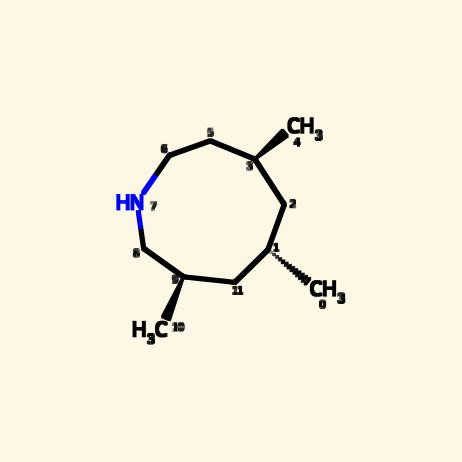 C[C@H]1C[C@H](C)CCNC[C@H](C)C1